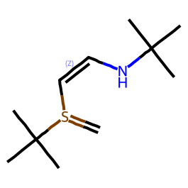 C=S(/C=C\NC(C)(C)C)C(C)(C)C